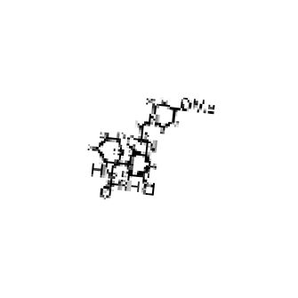 COC1CCN(Cc2nc3cc(Cl)c4c(c3o2)C2(CCCCC2)NC(=O)N4)CC1